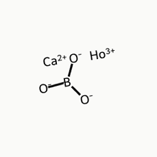 [Ca+2].[Ho+3].[O-]B([O-])[O-]